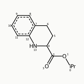 CC(C)OC(=O)C1CCc2[c]cccc2N1